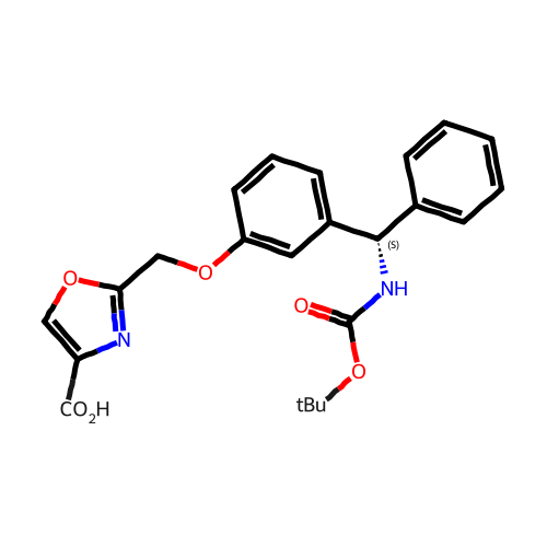 CC(C)(C)OC(=O)N[C@@H](c1ccccc1)c1cccc(OCc2nc(C(=O)O)co2)c1